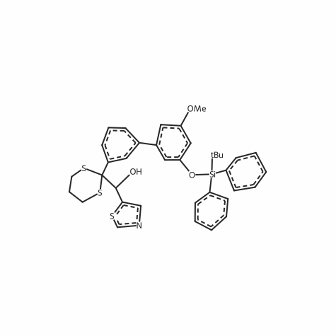 COc1cc(O[Si](c2ccccc2)(c2ccccc2)C(C)(C)C)cc(-c2cccc(C3(C(O)c4cncs4)SCCCS3)c2)c1